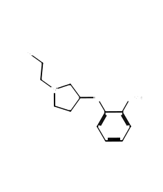 COc1ccccc1OC1CCN(CCN)C1